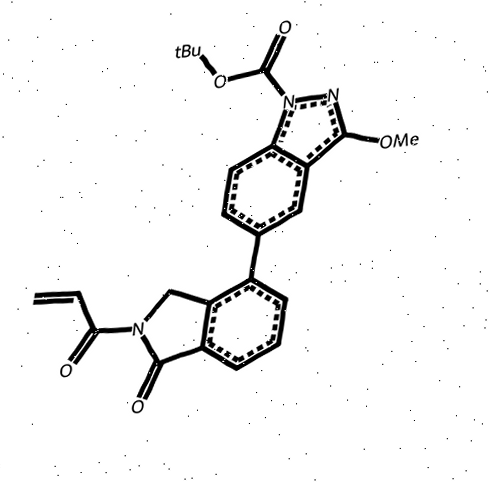 C=CC(=O)N1Cc2c(cccc2-c2ccc3c(c2)c(OC)nn3C(=O)OC(C)(C)C)C1=O